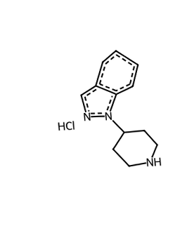 Cl.c1ccc2c(c1)cnn2C1CCNCC1